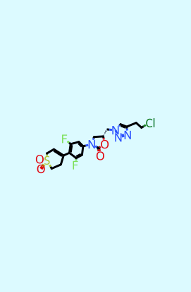 O=C1O[C@@H](Cn2cc(CCCl)nn2)CN1c1cc(F)c(C2=CCS(=O)(=O)CC2)c(F)c1